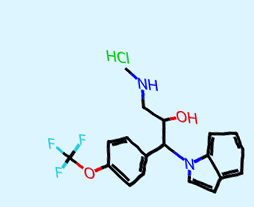 CNCC(O)C(c1ccc(OC(F)(F)F)cc1)n1ccc2ccccc21.Cl